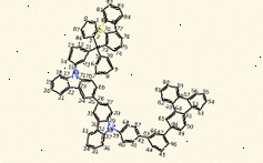 c1ccc(C(c2ccccc2)(c2cccc(-n3c4ccccc4c4cc(-c5ccc6c(c5)c5ccccc5n6-c5ccc(-c6cccc(-c7ccc8c9ccccc9c9ccccc9c8c7)c6)cc5)ccc43)c2)c2cccc3c2sc2ccccc23)cc1